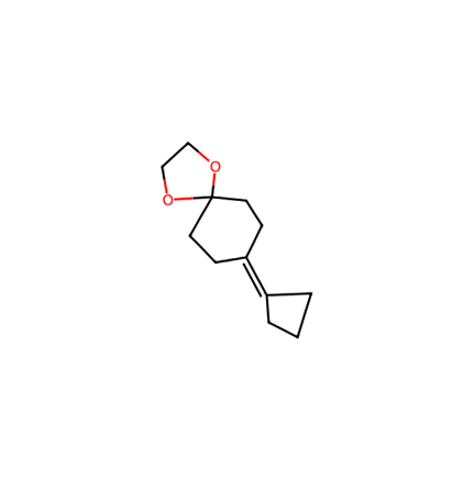 C1CC(=C2CCC3(CC2)OCCO3)C1